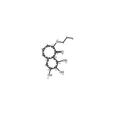 CCCOc1cccc2cc(O)c(O)c(O)c2c1=O